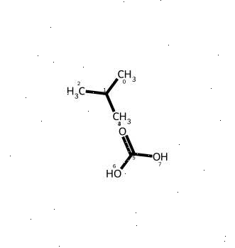 CC(C)C.O=C(O)O